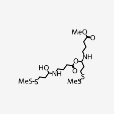 COC(=O)CCCNC(CCSSC)OC(=O)CCCNC(O)CCSSC